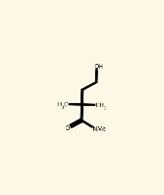 CNC(=O)C(C)(C)CCO